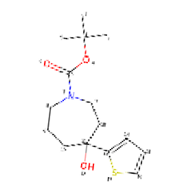 CC(C)(C)OC(=O)N1CCCC(O)(c2cccs2)CC1